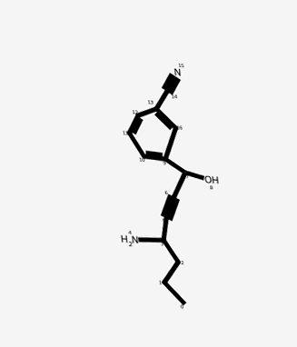 CCCC(N)C#CC(O)c1cccc(C#N)c1